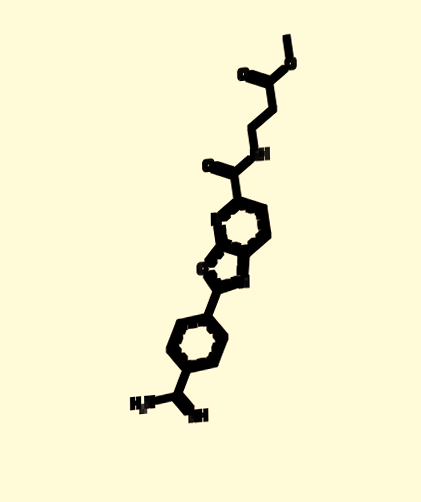 COC(=O)CCNC(=O)c1ccc2nc(-c3ccc(C(=N)N)cc3)oc2n1